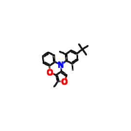 Cc1cc(C(C)(C)C)cc(C)c1N1c2ccccc2Oc2c1coc2C